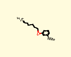 C=CCCCCCOc1cccc(NC)c1